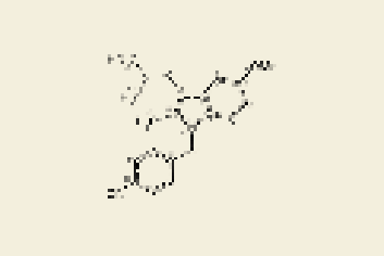 COc1ccc2c(c1)c(CC(C)C(=O)O)c(C)n2Cc1ccc(Cl)cc1